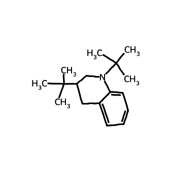 CC(C)(C)C1Cc2ccccc2N(C(C)(C)C)C1